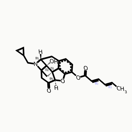 C/C=C/C=C/C(=O)Oc1ccc2c3c1O[C@H]1C(=O)CC45C[C@]31[C@]4(O)[C@@H](C2)N5CC1CC1